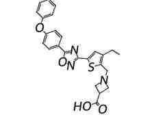 CCc1cc(-c2noc(-c3ccc(Oc4ccccc4)cc3)n2)sc1CN1CC(C(=O)O)C1